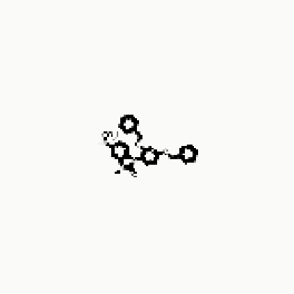 Cn1c(=O)n(-c2ccc(OCc3ccccc3)nc2OCc2ccccc2)c2ccc(NC(=O)O)cc21